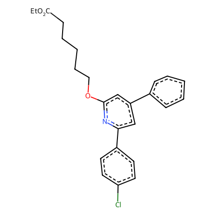 CCOC(=O)CCCCCOc1cc(-c2ccccc2)cc(-c2ccc(Cl)cc2)n1